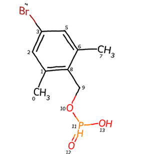 Cc1cc(Br)cc(C)c1CO[PH](=O)O